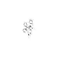 O=C(NCc1ccc(O)cc1)C(Cc1c[nH]cn1)NC(=O)C(c1ccccc1)c1ccccc1